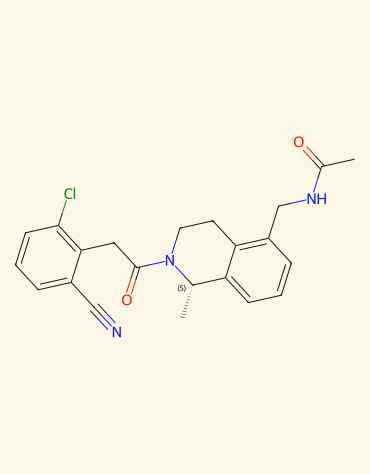 CC(=O)NCc1cccc2c1CCN(C(=O)Cc1c(Cl)cccc1C#N)[C@H]2C